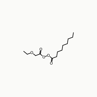 CCCCCCCCC(=O)OOC(=O)COCC